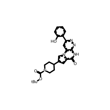 CC(C)(C)OC(=O)N1CCC(c2cc3c(=O)[nH]c4nnc(-c5ccccc5O)cc4n3c2)CC1